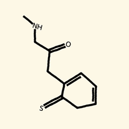 CNCC(=O)CC1=CC=CCC1=S